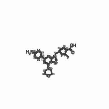 Cc1cc(Cn2cnc3c(N4CCOCC4)nc(-c4cnc(N)nc4)nc32)ccc1C(=O)O